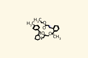 CCOC(=O)/C=C/c1ccccc1[C@@H](C)OC[C@H](O)CN1CCC[C@H]1Cc1ccc(C)cc1